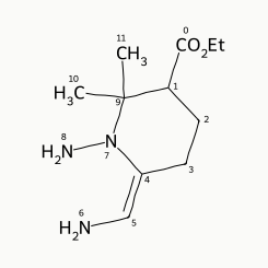 CCOC(=O)C1CC/C(=C/N)N(N)C1(C)C